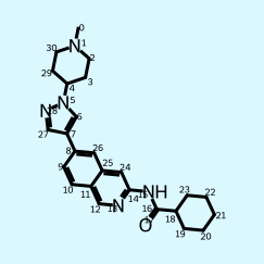 CN1CCC(n2cc(-c3ccc4cnc(NC(=O)C5CCCCC5)cc4c3)cn2)CC1